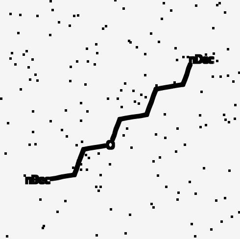 CCCCCCCCCCCCCCOCCCCCCCCCCCC